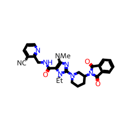 CCn1c(N2CCCC(N3C(=O)c4ccccc4C3=O)C2)nc(NC)c1C(=O)NCc1ncccc1C#N